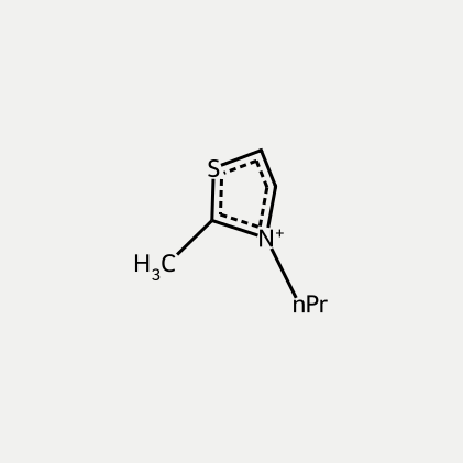 CCC[n+]1ccsc1C